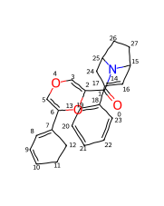 O=C(C1=COC=C(C2=CC=CCC2)O1)N1C2C=C(c3ccccc3)CC1CC2